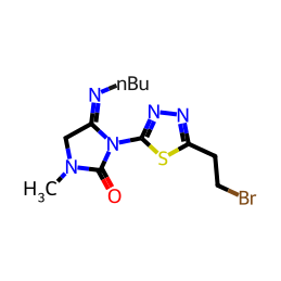 CCCCN=C1CN(C)C(=O)N1c1nnc(CCBr)s1